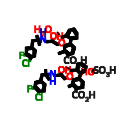 Cc1cc(-c2ccccc2[C@@H](C)OC[C@H](O)CNC(C)(C)Cc2ccc(Cl)c(F)c2)ccc1C(=O)O.Cc1cc(-c2ccccc2[C@@H](C)OC[C@H](O)CNC(C)(C)Cc2ccc(Cl)c(F)c2)ccc1C(=O)O.O.O=S(=O)(O)O